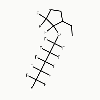 [CH2]CC1C[CH]C(F)(F)C1(F)OC(F)(F)C(F)(F)C(F)(F)C(F)(F)C(F)(F)F